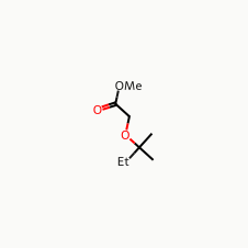 CCC(C)(C)OCC(=O)OC